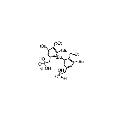 CCOc1c(C(C)(C)C)cc(CP(=O)(O)O)cc1C(C)(C)C.CCOc1c(C(C)(C)C)cc(CP(=O)(O)O)cc1C(C)(C)C.[Ni]